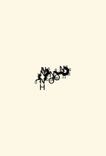 C[C@H]1Cn2ncc(N3CC(c4ccccn4)OC3=O)c2CN1